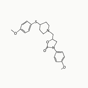 COc1ccc(SC2CCN(CC3CN(c4ccc(OC)cc4)C(=O)O3)CC2)cc1